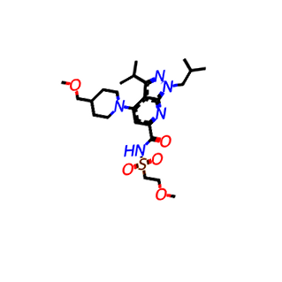 COCCS(=O)(=O)NC(=O)c1cc(N2CCC(COC)CC2)c2c(C(C)C)nn(CC(C)C)c2n1